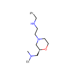 CCN(C)C[C@H]1CN(CCNCC(C)C)CCO1